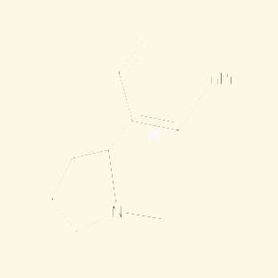 C=C/C(=C\CCC)C1CCCN1C